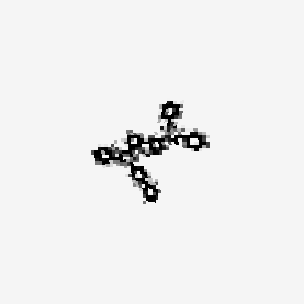 c1ccc(-c2ccc(-c3nc(-c4cccc5c4sc4ccc(-c6nc(-c7ccccc7)nc(-c7ccccc7)n6)cc45)c4sc5ccccc5c4n3)cc2)cc1